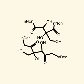 CCCCCCCCCC(=O)C(O)C(O)(CO)C(=O)CCCCCCCCC.CCCCCCCCCCCC(=O)C(O)C(O)(CO)C(=O)CCCCCCCCCCC